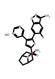 Cc1noc2cc(-c3sc(C(=O)N4C5CCC4CC(N)C5)cc3-c3cncnc3)c(F)cc12.Cl